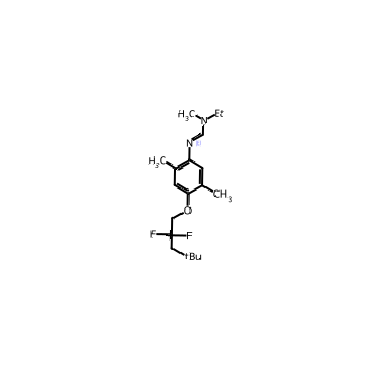 CCN(C)/C=N/c1cc(C)c(OCC(F)(F)CC(C)(C)C)cc1C